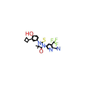 CC1(C)C(=O)N(c2cnc(C#N)c(C(F)(F)F)c2)C(=S)N1c1ccc(O)c(C2CCC2)c1